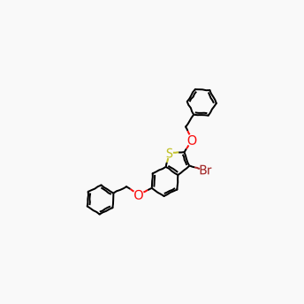 Brc1c(OCc2ccccc2)sc2cc(OCc3ccccc3)ccc12